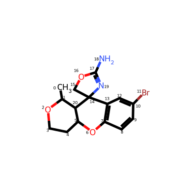 CC1OCCC2Oc3ccc(Br)cc3C3(COC(N)=N3)C12